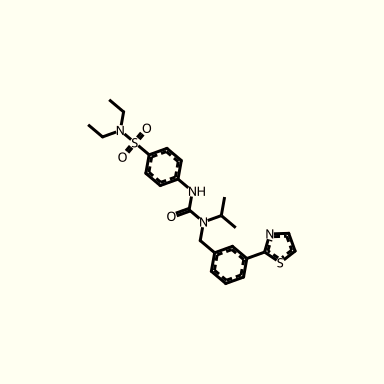 CCN(CC)S(=O)(=O)c1ccc(NC(=O)N(Cc2cccc(-c3nccs3)c2)C(C)C)cc1